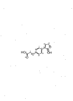 O=C(O)COc1ccc(C2=CCOB2O)cc1